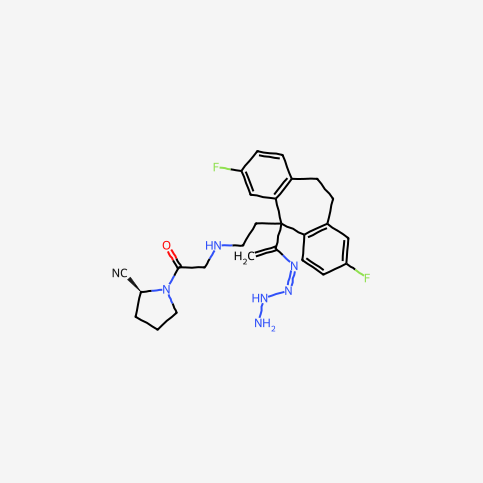 C=C(/N=N\NN)C1(CCNCC(=O)N2CCC[C@H]2C#N)c2ccc(F)cc2CCc2ccc(F)cc21